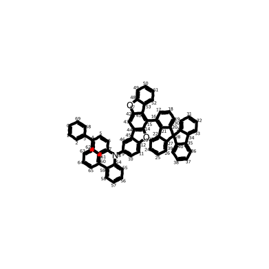 c1ccc(-c2ccc(N(c3ccc4oc5c(-c6cccc7c6-c6ccccc6C76c7ccccc7-c7ccccc76)c6c(cc5c4c3)oc3ccccc36)c3ccccc3-c3ccccc3)cc2)cc1